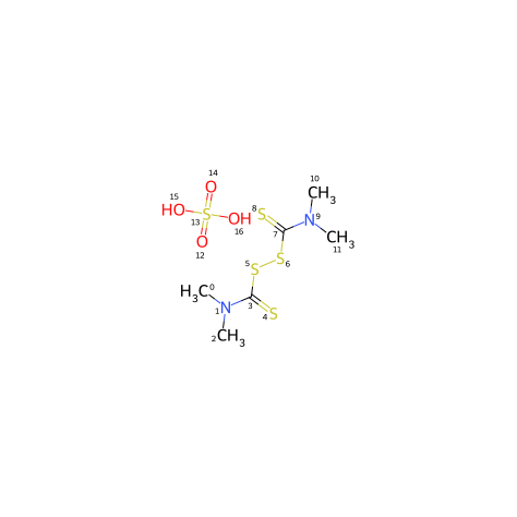 CN(C)C(=S)SSC(=S)N(C)C.O=S(=O)(O)O